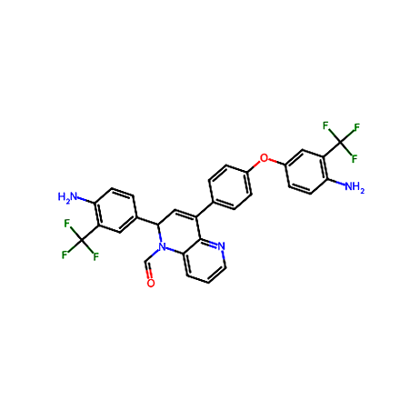 Nc1ccc(Oc2ccc(C3=CC(c4ccc(N)c(C(F)(F)F)c4)N(C=O)c4cccnc43)cc2)cc1C(F)(F)F